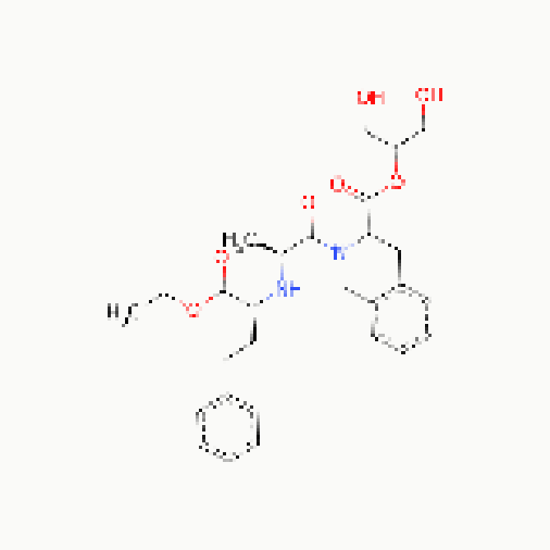 CCOC(=O)[C@H](CCc1ccccc1)N[C@@H](C)C(=O)N1Cc2ccccc2C[C@H]1C(=O)OC(CO)CO